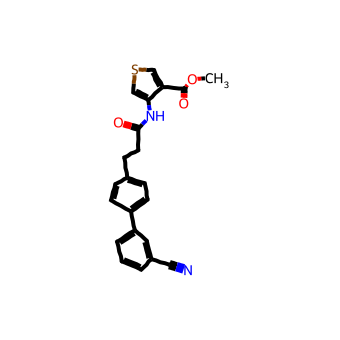 COC(=O)c1cscc1NC(=O)CCc1ccc(-c2cccc(C#N)c2)cc1